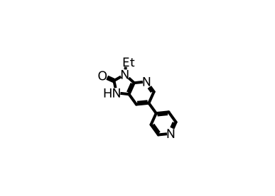 CCn1c(=O)[nH]c2cc(-c3ccncc3)cnc21